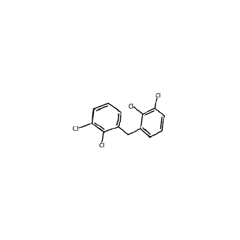 Clc1cccc(Cc2cccc(Cl)c2Cl)c1Cl